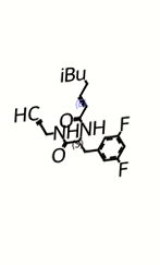 C#CCNC(=O)[C@H](Cc1cc(F)cc(F)c1)NC(=O)/C=C/CC(C)CC